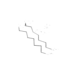 CCCCCCCCCCCCCCCCCC(=O)O.CCCCCCCCCCCCCCCCCC(=O)O.O=CO.[La].[Zn]